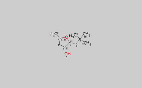 C[C@H]1C[C@@H](O)[C@@H](CC(C)(C)C)O1